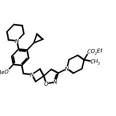 CCOC(=O)C1(C)CCN(C2=NOC3(C2)CN(Cc2cc(C4CC4)c(N4CCCCC4)cc2OC)C3)CC1